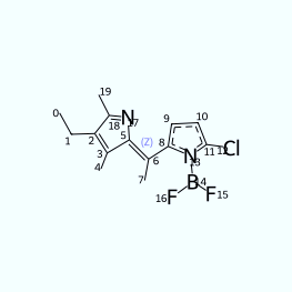 CCC1=C(C)/C(=C(\C)c2ccc(Cl)n2B(F)F)N=C1C